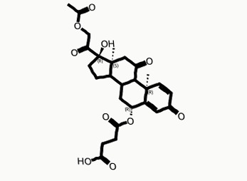 CC(=O)OCC(=O)[C@@]1(O)CCC2C3C[C@@H](OC(=O)CCC(=O)O)C4=CC(=O)C=C[C@]4(C)C3C(=O)C[C@@]21C